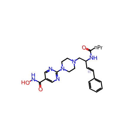 CCCC(=O)NC(/C=C/c1ccccc1)CN1CCN(c2ncc(C(=O)NO)cn2)CC1